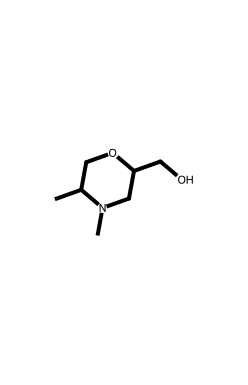 CC1COC(CO)CN1C